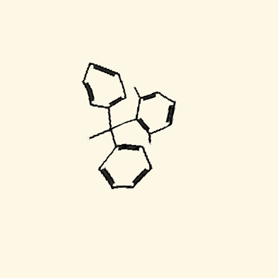 Clc1cccc(Cl)c1C(Cl)(c1ccccc1)c1ccccc1